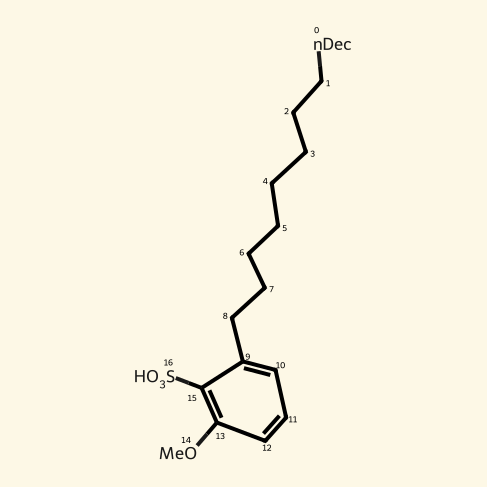 CCCCCCCCCCCCCCCCCCc1cccc(OC)c1S(=O)(=O)O